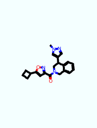 Cn1cc(C2CN(C(=O)c3cc(C4CCC4)on3)Cc3ccccc32)cn1